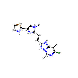 Cc1c(Cl)nc(C)n2nc(C=Cc3nc(-c4nccs4)cn3C)nc12